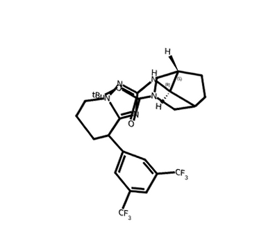 CC(C)(C)OC(=O)N1CC2CC[C@@H](C1)[C@@H]2Nc1nc2n(n1)CCCC2c1cc(C(F)(F)F)cc(C(F)(F)F)c1